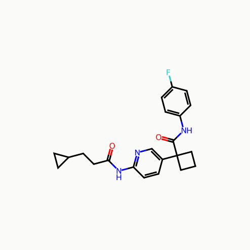 O=C(CCC1CC1)Nc1ccc(C2(C(=O)Nc3ccc(F)cc3)CCC2)cn1